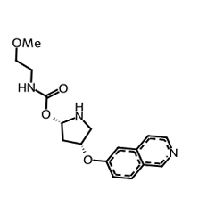 COCCNC(=O)O[C@H]1C[C@@H](Oc2ccc3cnccc3c2)CN1